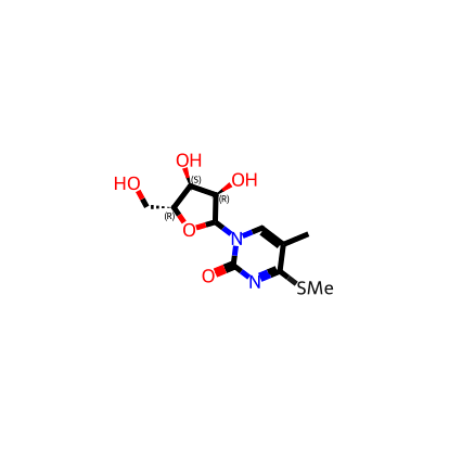 CSc1nc(=O)n(C2O[C@H](CO)[C@@H](O)[C@H]2O)cc1C